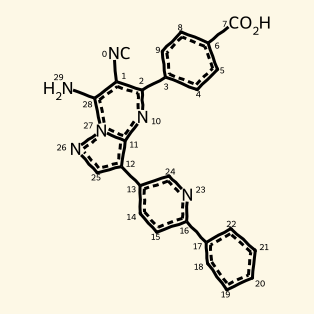 [C-]#[N+]c1c(-c2ccc(C(=O)O)cc2)nc2c(-c3ccc(-c4ccccc4)nc3)cnn2c1N